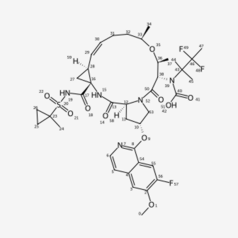 COc1cc2ccnc(O[C@@H]3C[C@H]4C(=O)N[C@]5(C(=O)NS(=O)(=O)C6(C)CC6)C[C@H]5/C=C\CC[C@@H](C)O[C@@H](C)[C@H](N(C(=O)O)C(C)(C)C(C)(F)F)C(=O)N4C3)c2cc1F